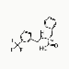 O=C(O)[C@H](Cc1ccccc1)NCc1cccc(C(F)(F)F)c1